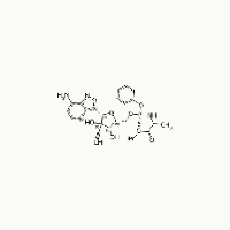 C#C[C@@]1(O)[C@H](O)[C@@H](COP(=S)(NC(C)C(=O)OC(C)C)Oc2ccccc2)O[C@H]1n1cnc2c(N)ccnc21